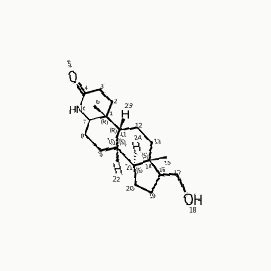 C[C@]12CCC(=O)NC1CC[C@@H]1[C@H]2CC[C@]2(C)C(CO)CC[C@@H]12